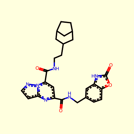 O=C(NCc1ccc2oc(=O)[nH]c2c1)c1cc(C(=O)NCCC2CC3CCC(C2)C3)n2nccc2n1